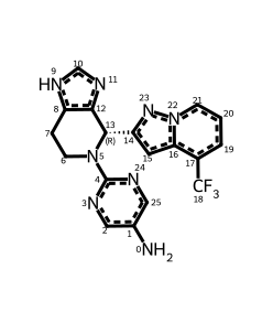 Nc1cnc(N2CCc3[nH]cnc3[C@@H]2c2cc3c(C(F)(F)F)cccn3n2)nc1